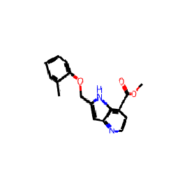 COC(=O)c1ccnc2cc(COc3ccccc3C)[nH]c12